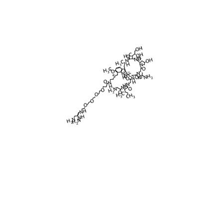 CC[C@H](C)C(NC(=O)CN)C(=O)NCC(=O)NC1C[S+]([O-])c2[nH]c3c(CSCCNC(=O)CCOCCOCCOCCOCCN/C=C(/CN)NN)c(OC)ccc3c2C[C@@H](C)NC(=O)C(C(C)C(O)CO)NC(=O)C2C[C@@H](O)CN2C(=O)[C@H](CC(N)=O)NC1=O